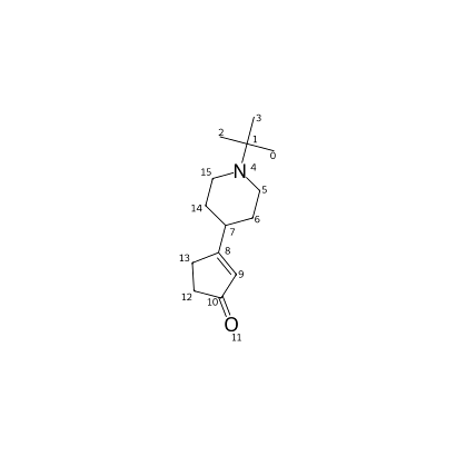 CC(C)(C)N1CCC(C2=CC(=O)CC2)CC1